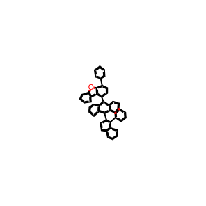 c1ccc(-c2c(-c3c4ccccc4c(-c4ccc(-c5ccccc5)c5oc6ccccc6c45)c4ccccc34)ccc3ccccc23)cc1